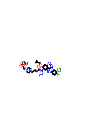 CC(C)(C)OC(=O)CN1CCN(C/C=C/C(=O)Nc2cc3c(Nc4ccc(F)c(Cl)c4)ncnc3cc2OCC2CC2)CC1